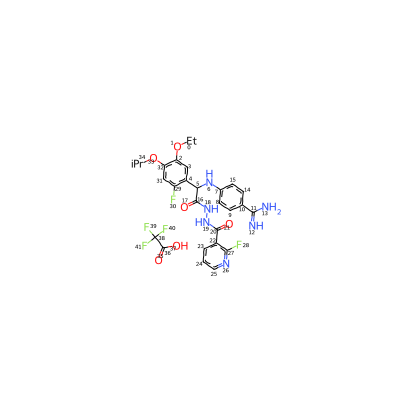 CCOc1cc(C(Nc2ccc(C(=N)N)cc2)C(=O)NNC(=O)c2cccnc2F)c(F)cc1OC(C)C.O=C(O)C(F)(F)F